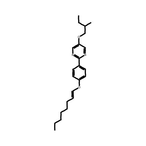 CCCCCCC=COc1ccc(-c2ncc(OCC(C)CC)cn2)cc1